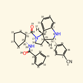 N#Cc1ccc([C@H]2Nc3ccccc3[C@@H]3[C@H]2CCN3C(=O)[C@H]2CCCC[C@H]2NC(=O)c2ccccc2)cc1